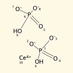 O=P([O-])([O-])O.O=P([O-])([O-])O.[Ce+4]